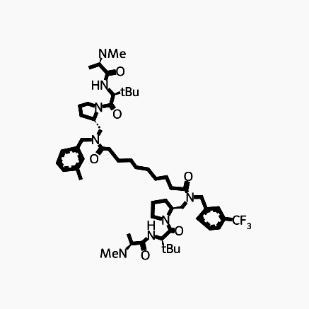 CN[C@@H](C)C(=O)N[C@H](C(=O)N1CCC[C@H]1CN(Cc1cccc(C)c1)C(=O)CCCCCCCCC(=O)N(Cc1cccc(C(F)(F)F)c1)C[C@@H]1CCCN1C(=O)[C@@H](NC(=O)[C@H](C)NC)C(C)(C)C)C(C)(C)C